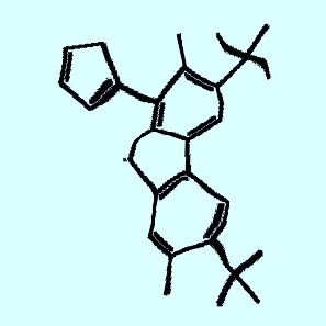 Cc1cc2c(cc1C(C)(C)C)-c1cc(C(C)(C)C)c(C)c(C3=CC=CC3)c1[CH]2